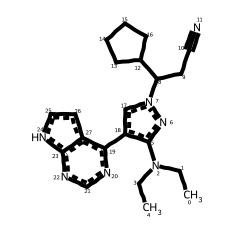 CCN(CC)c1nn(C(CC#N)C2CCCC2)cc1-c1ncnc2[nH]ccc12